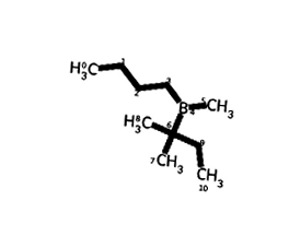 CCCCB(C)C(C)(C)CC